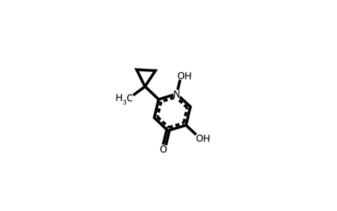 CC1(c2cc(=O)c(O)cn2O)CC1